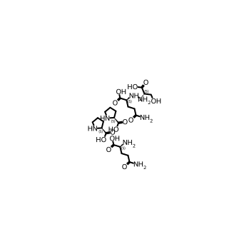 NC(=O)CC[C@H](N)C(=O)O.NC(=O)CC[C@H](N)C(=O)O.N[C@@H](CO)C(=O)O.O=C(O)[C@@H]1CCCN1.O=C(O)[C@@H]1CCCN1